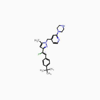 Cc1cc(/C(F)=C/c2ccc(C(C)(C)C)cc2)nn1Cc1ccnc(N2CCNCC2)c1